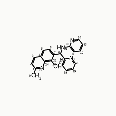 Cc1ccc2ccc(C(Nc3ccccn3)c3ccccn3)c(O)c2n1